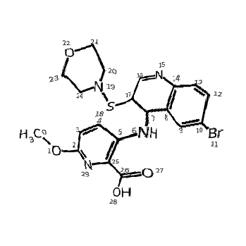 COc1ccc(NC2c3cc(Br)ccc3N=CC2SN2CCOCC2)c(C(=O)O)n1